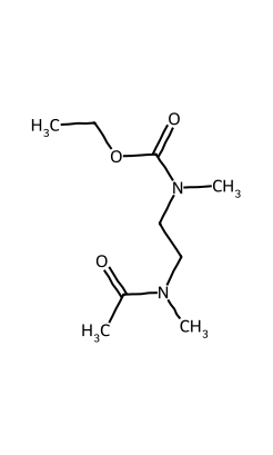 CCOC(=O)N(C)CCN(C)C(C)=O